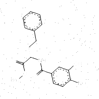 CC(C)(C)OC(=O)[C@H](CCc1ccccc1)NC(=O)c1ccc([N+](=O)[O-])c(O)c1